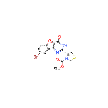 CC(C)(C)OC(=O)N1CSC[C@H]1c1nc2c(oc3ccc(Br)cc32)c(=O)[nH]1